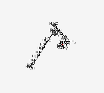 Cc1c(F)cc2nc3c(c4c2c1CC[C@@H]4NC(=O)OCc1ccc(NC(=O)[C@H](CCCNC(N)=O)NC(=O)[C@@H](NC(=O)[C@@H](N)CCCCNC(=O)C(O)COCC(O)COCC(O)COCC(O)COCC(O)COCC(O)COCC(O)CN(O)O)C(C)C)cc1)Cn1c-3cc2c(c1=O)COC(=O)[C@]2(O)[C@@H](C)[SiH3]